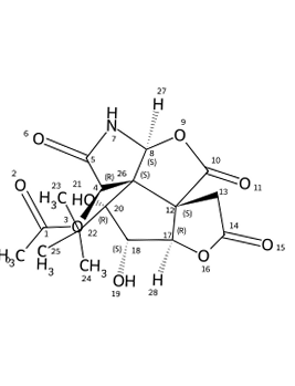 CC(=O)O[C@H]1C(=O)N[C@H]2OC(=O)[C@]34CC(=O)O[C@H]3[C@H](O)[C@@](O)(C(C)(C)C)[C@@]214